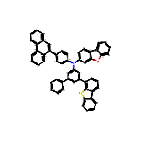 c1ccc(-c2cc(-c3cccc4c3sc3ccccc34)cc(N(c3ccc(-c4cc5ccccc5c5ccccc45)cc3)c3ccc4c(c3)oc3ccccc34)c2)cc1